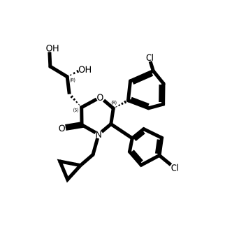 O=C1[C@H](C[C@@H](O)CO)O[C@H](c2cccc(Cl)c2)C(c2ccc(Cl)cc2)N1CC1CC1